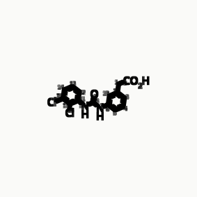 O=C(O)Cc1cccc(NC(=O)Nc2cccc(Cl)c2Cl)c1